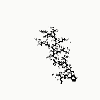 CC[C@H](C)[C@H](NC(=O)[C@H](Cc1ccccc1)NC(=O)[C@@H](NC(=O)[C@H](CC(=O)O)NC(=O)[C@H](C)NC(=O)[C@H](CO)NC(=O)[C@H](CCCNC(=N)N)NC(=O)[C@H](CCCNC(=N)N)NC(=O)[C@@H](CCCCN)NC(=O)[C@H](CCC(=O)O)NC(=O)[C@H](CO)NC)[C@@H](C)CC)C(N)=O